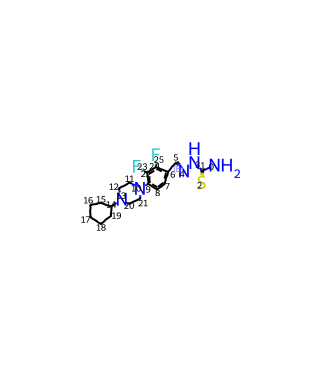 NC(=S)N/N=C/c1ccc(N2CCN(C3CCCCC3)CC2)c(F)c1F